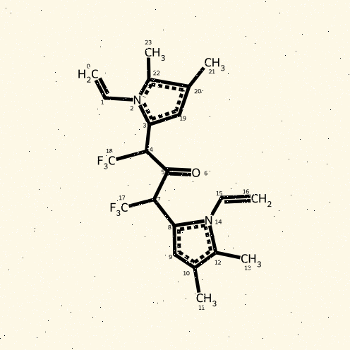 C=Cn1c(C(C(=O)C(c2cc(C)c(C)n2C=C)C(F)(F)F)C(F)(F)F)cc(C)c1C